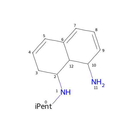 CCCC(C)NC1CC=CC2=CC=CC(N)C21